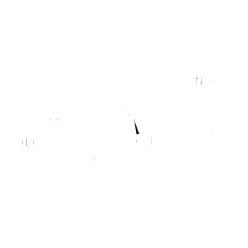 CC(C)(C)OC(=O)C[C@H](O)C[C@@H](CO)N=O